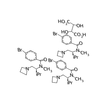 CC(C)[C@@H](CN1CCC1)N(C)C(=O)c1ccc(Br)cc1.CC(C)[C@@H](CN1CCC1)N(C)C(=O)c1ccc(Br)cc1.CC(C)[C@@H](CN1CCC1)N(C)C(=O)c1ccc(Br)cc1.O=C(O)C(O)C(O)C(=O)O